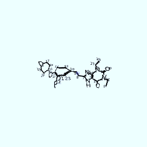 CCn1c(=O)c2[nH]c(/C=C/c3ccc(OC4CCOCC4)c(F)c3)nc2n(CC)c1=O